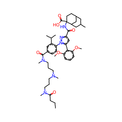 CCCC(=O)N(C)CCCN(C)CCCN(C)C(=O)c1ccc(-n2nc(C(=O)NC3(C(=O)O)CCC4CC(C)CC3C4)cc2-c2c(OC)cccc2OC)c(C(C)C)c1